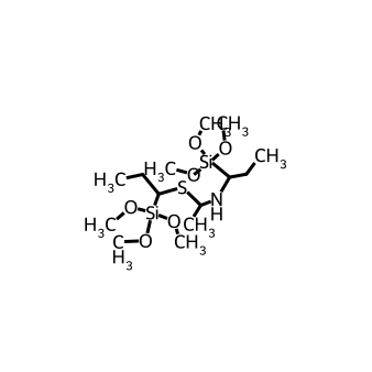 CCC(NC(C)SC(CC)[Si](OC)(OC)OC)[Si](OC)(OC)OC